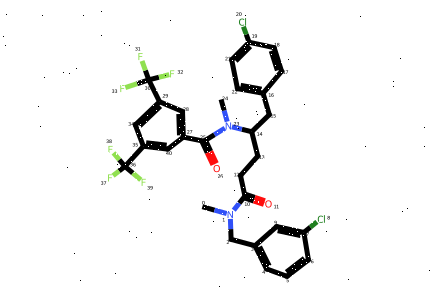 CN(Cc1cccc(Cl)c1)C(=O)CCC(Cc1ccc(Cl)cc1)N(C)C(=O)c1cc(C(F)(F)F)cc(C(F)(F)F)c1